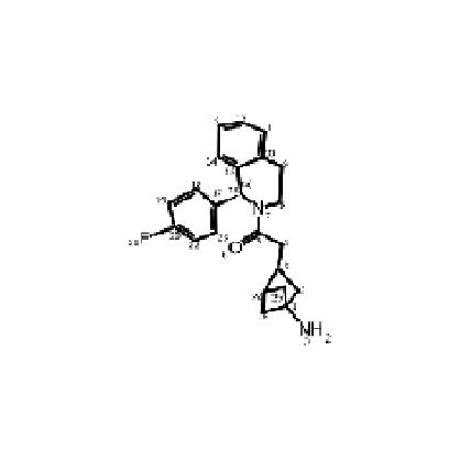 NC12CC(CC(=O)N3CCc4ccccc4[C@@H]3c3ccc(F)cc3)C(C1)C2